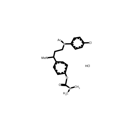 CNC(CCN(C(C)=O)c1ccc(Cl)cc1)c1ccc(OC(=O)N(C)C)cc1.Cl